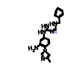 Cc1cn(-c2ccc(NC(=N)/N=C\NCc3ccccc3)cc2N)cn1